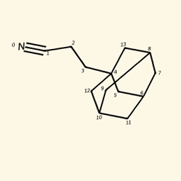 N#CCCC12CC3CC(CC(C3)C1)C2